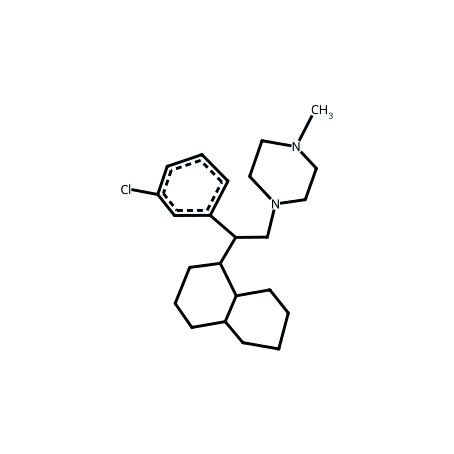 CN1CCN(CC(c2cccc(Cl)c2)C2CCCC3CCCCC32)CC1